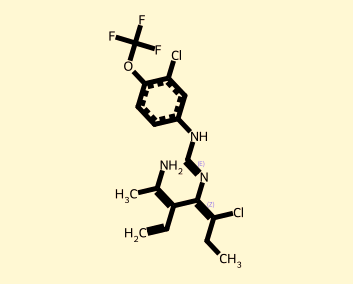 C=CC(=C(C)N)C(/N=C/Nc1ccc(OC(F)(F)F)c(Cl)c1)=C(/Cl)CC